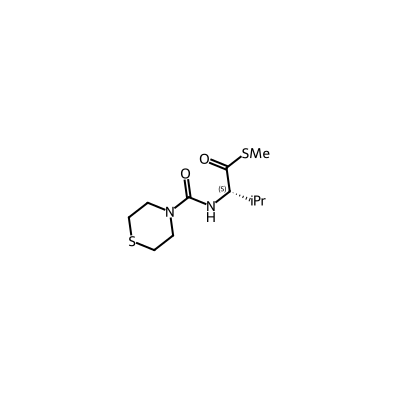 CSC(=O)[C@@H](NC(=O)N1CCSCC1)C(C)C